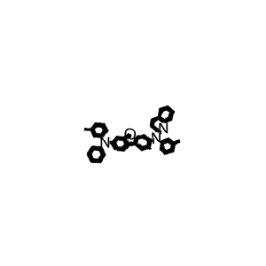 Cc1cccc(N(c2ccccc2)c2ccc3c(c2)oc2cc(N(c4cccc(C)c4)c4ccc5ccccc5n4)ccc23)c1